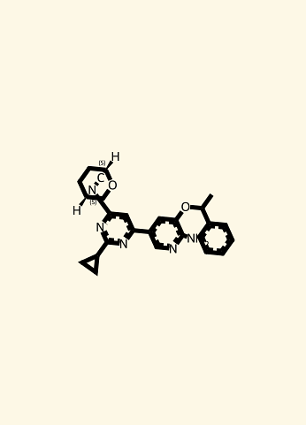 CC(Oc1cc(-c2cc(N3C[C@@H]4CC[C@H]3CO4)nc(C3CC3)n2)cnc1N)c1ccccc1